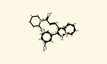 CCC1CCCCN1C(=O)/C=C/c1c(-c2cccc(Cl)c2)nn2ccccc12